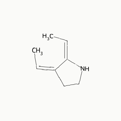 C/C=C1/CCN/C1=C/C